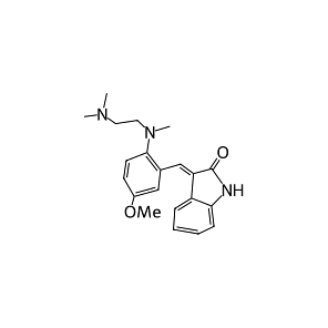 COc1ccc(N(C)CCN(C)C)c(/C=C2/C(=O)Nc3ccccc32)c1